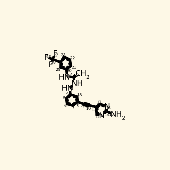 C=C(NNc1cccc(C#Cc2cnc(N)nc2)c1)Nc1cccc(C(F)(F)F)c1